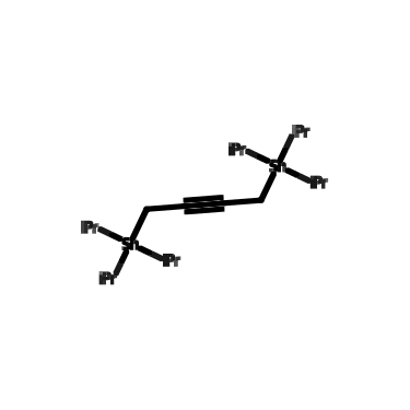 C[CH](C)[Sn]([CH2]C#C[CH2][Sn]([CH](C)C)([CH](C)C)[CH](C)C)([CH](C)C)[CH](C)C